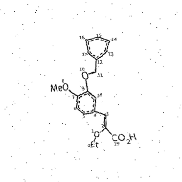 CCOC(=Cc1ccc(OC)c(OCc2ccccc2)c1)C(=O)O